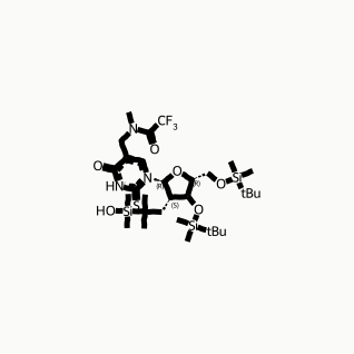 CN(Cc1cn([C@@H]2O[C@H](CO[Si](C)(C)C(C)(C)C)C(O[Si](C)(C)C(C)(C)C)[C@@H]2CC(C)(C)[Si](C)(C)O)c(=S)[nH]c1=O)C(=O)C(F)(F)F